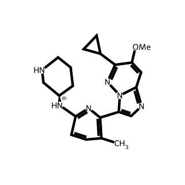 COc1cc2ncc(-c3nc(N[C@@H]4CCCNC4)ccc3C)n2nc1C1CC1